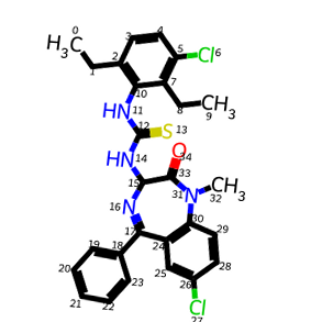 CCc1ccc(Cl)c(CC)c1NC(=S)NC1N=C(c2ccccc2)c2cc(Cl)ccc2N(C)C1=O